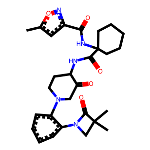 Cc1cc(C(=O)NC2(C(=O)NC3CCN(c4ccccc4N4CC(C)(C)C4=O)CC3=O)CCCCC2)no1